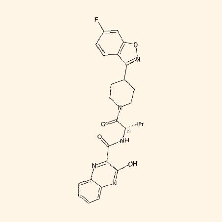 CC(C)[C@H](NC(=O)c1nc2ccccc2nc1O)C(=O)N1CCC(c2noc3cc(F)ccc23)CC1